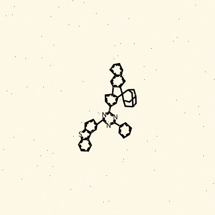 c1ccc(-c2nc(-c3ccc4c(c3)C3(c5cc6ccccc6cc5-4)C4CC5CC(C4)CC3C5)nc(-c3ccc4sc5ccccc5c4c3)n2)cc1